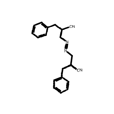 N#CC(CN=NCC(C#N)Cc1ccccc1)Cc1ccccc1